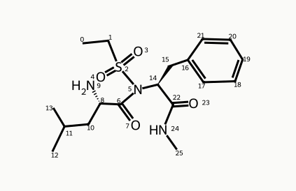 CCS(=O)(=O)N(C(=O)[C@@H](N)CC(C)C)[C@@H](Cc1ccccc1)C(=O)NC